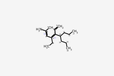 C=C/C(=C(\C=C(/C)N)CC)C(CCC)CCC